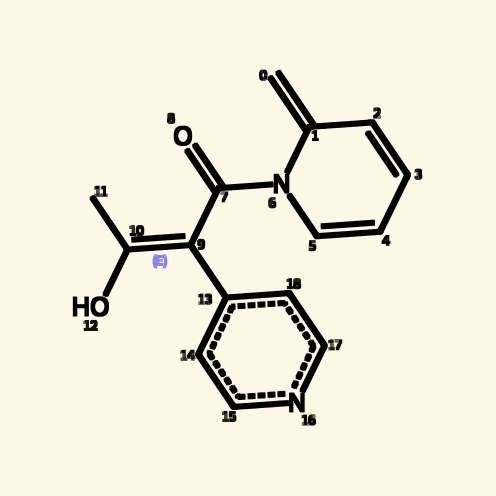 C=C1C=CC=CN1C(=O)/C(=C(\C)O)c1ccncc1